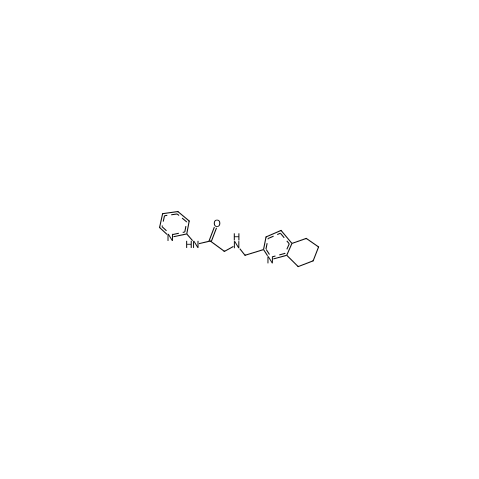 O=C(CNCc1ccc2c(n1)CCCC2)Nc1ccccn1